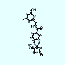 Cc1cc(C#N)nc(CNC(=O)c2ccc([C@@H](C)[C@]3(C)CC(=O)NC3=O)cc2)c1